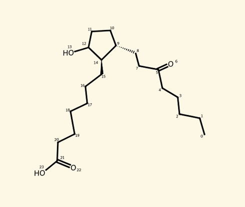 CCCCCC(=O)CC[C@H]1CCC(O)[C@@H]1CCCCCCC(=O)O